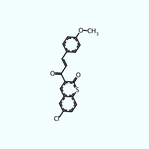 COc1ccc(/C=C/C(=O)c2cc3cc(Cl)ccc3sc2=O)cc1